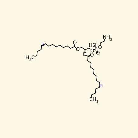 CCCC/C=C\CCCCCCCC(=O)OCC(COP(=O)(O)OCCN)OC(=O)CCCCCCC/C=C\CCCC